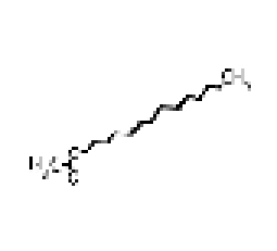 CCCCC=CCCC=CCCCCOC(C)=O